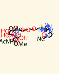 CO[C@@H]1OC(CO)[C@@H](O)[C@H](O[C@@H]2OC(C(=O)NCCOCCOCCOCCNC(=S)n3ccc4c(N(C)[C@H]5CN(C(=O)CC#N)CC[C@H]5C)ncnc43)[C@@H](OC)[C@H](O)C2O)C1NC(C)=O